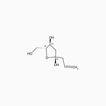 C=CC[C@@]1(O)C[C@H](O)[C@@H](CO)O1